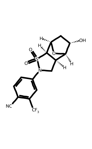 N#Cc1ccc(N2C[C@@H]3[C@H]4O[C@H](C[C@@H]4O)[C@@H]3S2(=O)=O)cc1C(F)(F)F